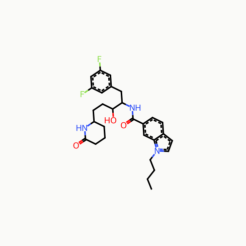 CCCCn1ccc2ccc(C(=O)NC(Cc3cc(F)cc(F)c3)C(O)CCC3CCCC(=O)N3)cc21